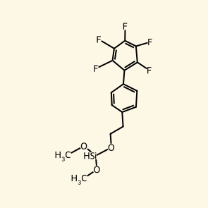 CO[SiH](OC)OCCc1ccc(-c2c(F)c(F)c(F)c(F)c2F)cc1